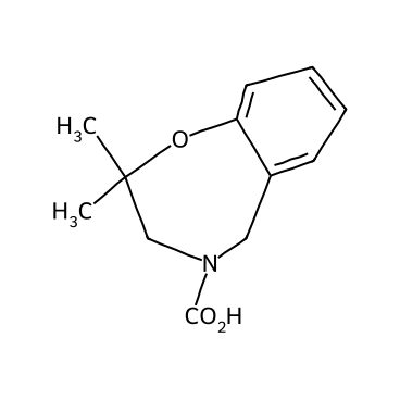 CC1(C)CN(C(=O)O)Cc2ccccc2O1